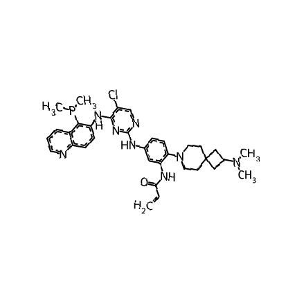 C=CC(=O)Nc1cc(Nc2ncc(Cl)c(Nc3ccc4ncccc4c3P(C)C)n2)ccc1N1CCC2(CC1)CC(N(C)C)C2